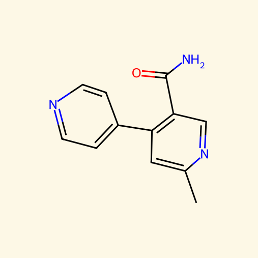 Cc1cc(-c2ccncc2)c(C(N)=O)cn1